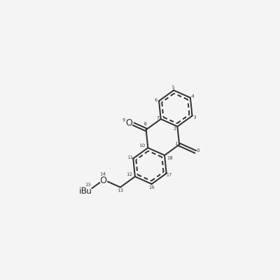 C=C1c2ccccc2C(=O)c2cc(COC(C)CC)ccc21